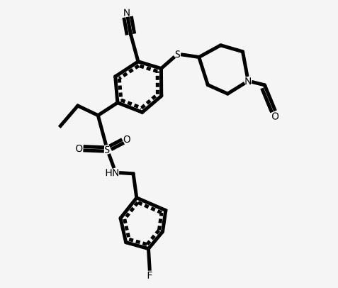 CCC(c1ccc(SC2CCN(C=O)CC2)c(C#N)c1)S(=O)(=O)NCc1ccc(F)cc1